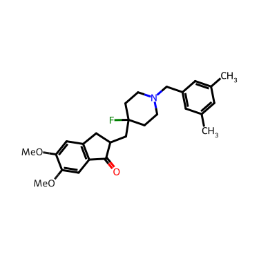 COc1cc2c(cc1OC)C(=O)C(CC1(F)CCN(Cc3cc(C)cc(C)c3)CC1)C2